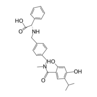 CC(C)c1cc(C(=O)N(C)Cc2ccc(CN[C@H](C(=O)O)c3ccccc3)cc2)c(O)cc1O